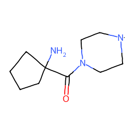 NC1(C(=O)N2CC[N]CC2)CCCC1